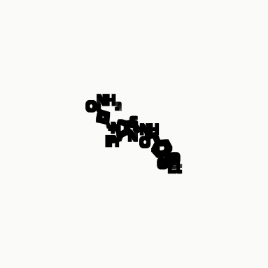 CCS(=O)(=O)c1ccc(CC(=O)Nc2nc3c(s2)CN(C[C@H]2C[C@H](C(N)=O)C2)C3C(C)C)cc1